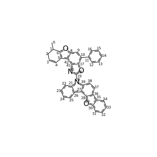 CC1CC=Cc2c1oc1cc(-c3ccccc3)c3oc(-n4c5ccccc5c5c6oc7ccccc7c6ccc54)nc3c21